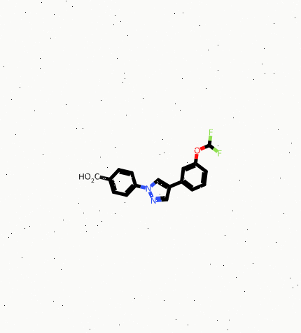 O=C(O)c1ccc(-n2cc(-c3cccc(OC(F)F)c3)cn2)cc1